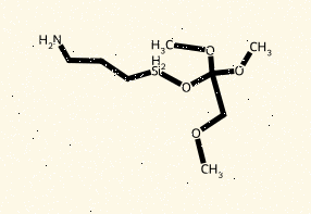 COCC(OC)(OC)O[SiH2]CCCN